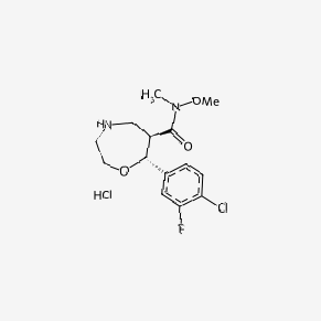 CON(C)C(=O)[C@@H]1CNCCO[C@H]1c1ccc(Cl)c(F)c1.Cl